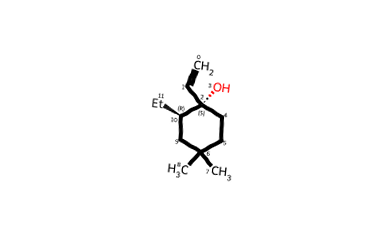 C=C[C@@]1(O)CCC(C)(C)C[C@H]1CC